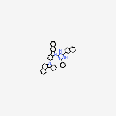 C1=CC2CCc3c(c4c(n3-c3ccc5c6cc7ccccc7cc6n(C6=NC(c7ccccc7)NC(C7=CC8=C(C=CCC8)CC7)N6)c5c3)C=CCC4)C2C=C1